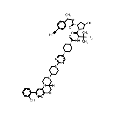 C#Cc1ccc([C@H](C)NC(=O)[C@@H]2C[C@@H](O)CN2C(=O)[C@@H](NC(=O)[C@H]2CC[C@@H](c3cnc(N4CCC(N5CCN6c7cc(-c8ccccc8O)nnc7NC[C@H]6C5)CC4)nc3)CC2)C(C)(C)C)cc1